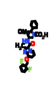 COCC(CN(Cc1ccccc1)C(=O)O)NC(=O)c1c(C)nc2c(OCc3c(F)cccc3F)cccn12